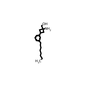 CCCCCCCCc1cccc(C2CC(N)(CO)C2)c1